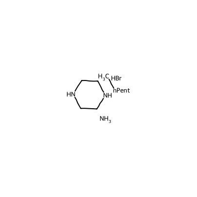 Br.C1CNCCN1.CCCCCC.N